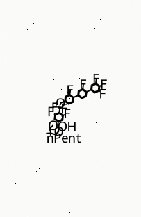 CCCCCC1(C)COC(O)(c2cc(F)c(C(F)(F)Oc3ccc(-c4ccc(-c5cc(F)c(F)c(F)c5)c(F)c4)c(F)c3)c(F)c2)OC1